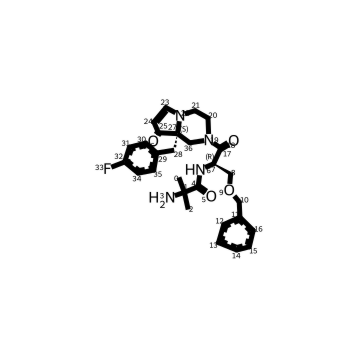 CC(C)(N)C(=O)N[C@H](COCc1ccccc1)C(=O)N1CCN2C=CC(=O)[C@]2(Cc2ccc(F)cc2)C1